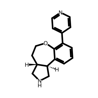 c1cc(-c2ccncc2)c2c(c1)[C@H]1CNC[C@@H]1CCO2